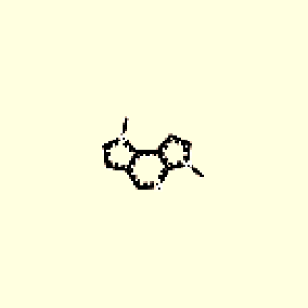 Cn1ccc2c1ncc1ccn(C)c12